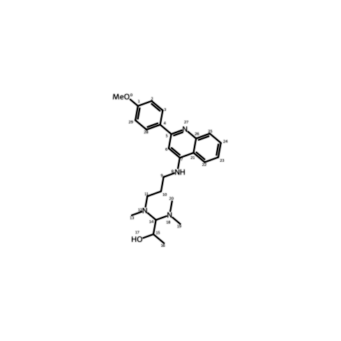 COc1ccc(-c2cc(NCCCN(C)C(C(C)O)N(C)C)c3ccccc3n2)cc1